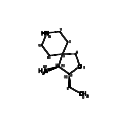 CC[C@@H]1OCC2(CCNCC2)[C@@H]1N